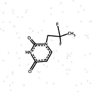 CC(F)(F)Cn1ccc(=O)[nH]c1=O